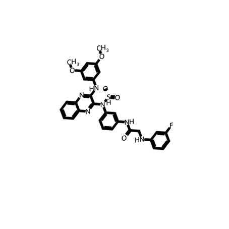 COc1cc(Nc2nc3ccccc3nc2N(c2cccc(NC(=O)CNc3cccc(F)c3)c2)[SH](=O)=O)cc(OC)c1